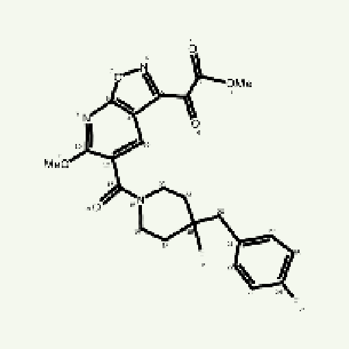 COC(=O)C(=O)c1noc2nc(OC)c(C(=O)N3CCC(F)(Cc4ccc(F)cc4)CC3)cc12